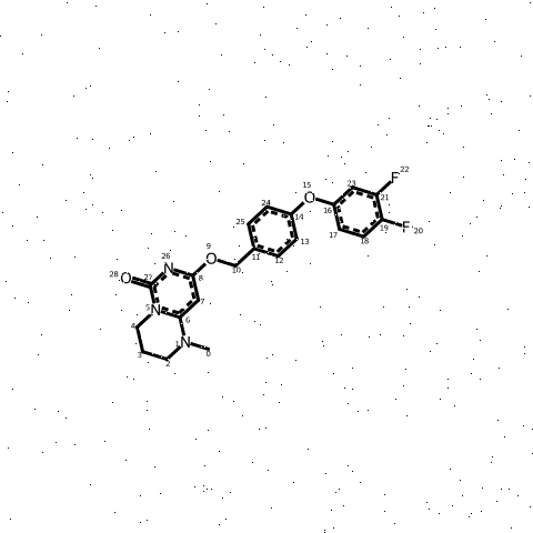 CN1CCCn2c1cc(OCc1ccc(Oc3ccc(F)c(F)c3)cc1)nc2=O